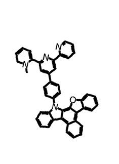 CN1CC=CC=C1c1cc(-c2ccc(-n3c4ccccc4c4c5ccccc5c5c6ccccc6oc5c43)cc2)cc(-c2ccccn2)n1